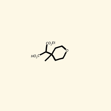 CCOC(=O)C(C(=O)O)C1(C)CCOCC1